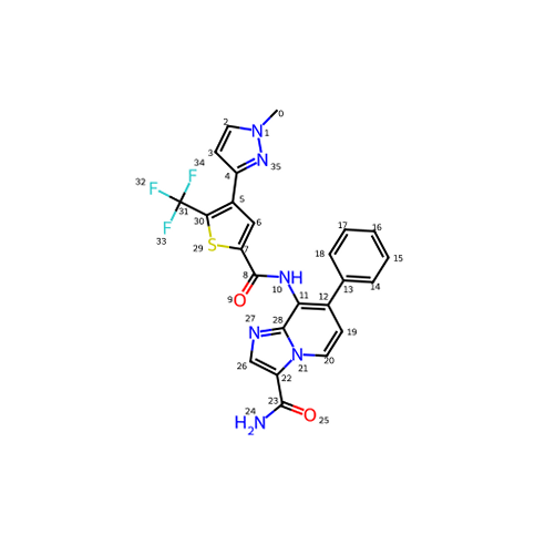 Cn1ccc(-c2cc(C(=O)Nc3c(-c4ccccc4)ccn4c(C(N)=O)cnc34)sc2C(F)(F)F)n1